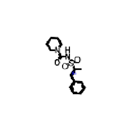 C/C(=C\c1ccccc1)S(=O)(=O)NC(=O)N1CCCCC1